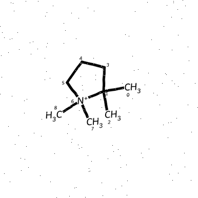 CC1(C)CCC[N+]1(C)C